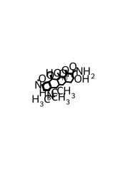 CN(C)c1cc2ncoc2c2c1C(C)(C)C1CC3CC(O)=C(C(N)=O)C(=O)[C@@]3(O)C(O)=C1C2=O